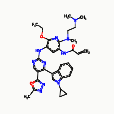 C=CC(=O)Nc1cc(Nc2ncc(-c3nnc(C)o3)c(-c3cn(C4CC4)c4ccccc34)n2)c(OCC(F)(F)F)nc1N(C)CCN(C)C